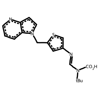 CC(C)(C)N(C=Nc1csc(Cn2ccc3ncccc32)c1)C(=O)O